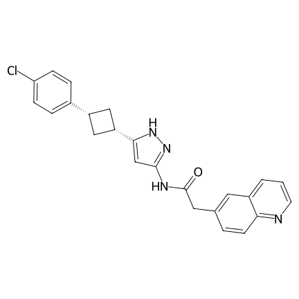 O=C(Cc1ccc2ncccc2c1)Nc1cc([C@H]2C[C@@H](c3ccc(Cl)cc3)C2)[nH]n1